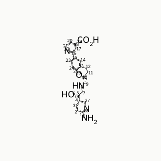 Nc1ccc([C@H](O)CNC[C@H]2CCc3cc(-c4cc(C(=O)O)ccn4)ccc3O2)cn1